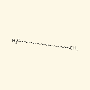 C=C/C=C/CCCCCCCCCCCC/C=C/C=C/CCCCCCC/C=C/C=C/CC